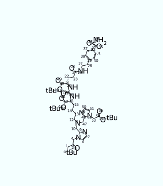 CC(C)(C)CC(=O)Cn1ccnc1CN(CCCC[C@H](NC(=O)N[C@@H](CCC(=O)NCCc1ccc(S(N)(=O)=O)cc1)C(=O)OC(C)(C)C)C(=O)OC(C)(C)C)Cc1nccn1CC(=O)OC(C)(C)C